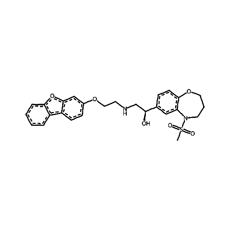 CS(=O)(=O)N1CCCOc2ccc([C@@H](O)CNCCOc3ccc4c(c3)oc3ccccc34)cc21